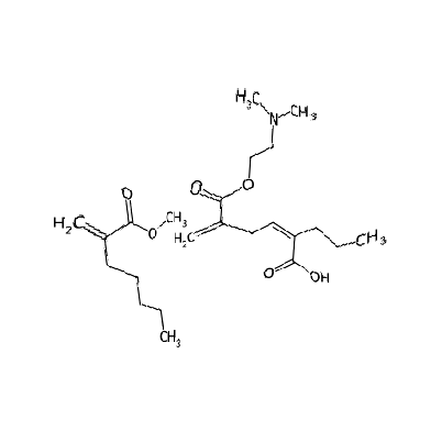 C=C(CC=C(CCC)C(=O)O)C(=O)OCCN(C)C.C=C(CCCCC)C(=O)OC